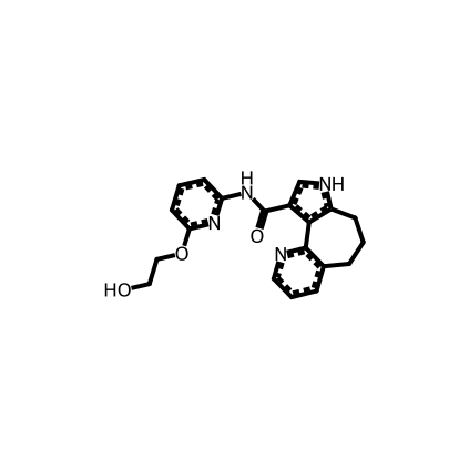 O=C(Nc1cccc(OCCO)n1)c1c[nH]c2c1-c1ncccc1CCC2